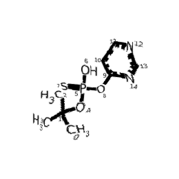 CC(C)(C)OP(O)(=S)Oc1ccncn1